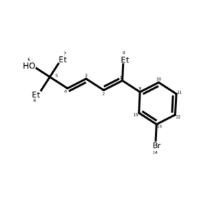 CCC(=CC=CC(O)(CC)CC)c1cccc(Br)c1